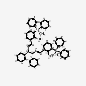 C[Si](c1ccccc1)(c1ccccc1)c1cccc(/C=N/[C@H](c2ccccc2)[C@H](/N=C/c2cccc([Si](C)(c3ccccc3)c3ccccc3)c2O)c2ccccc2)c1O